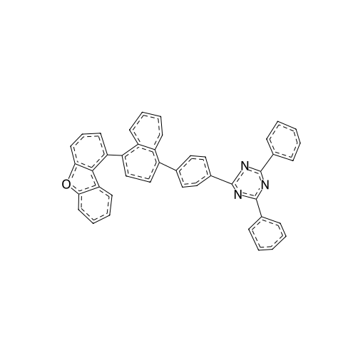 c1ccc(-c2nc(-c3ccccc3)nc(-c3ccc(-c4ccc(-c5cccc6oc7ccccc7c56)c5ccccc45)cc3)n2)cc1